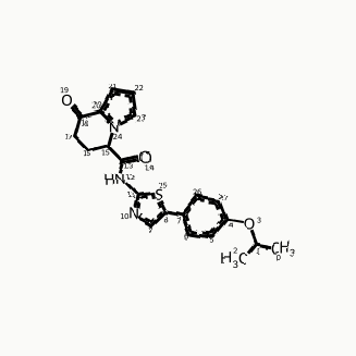 CC(C)Oc1ccc(-c2cnc(NC(=O)C3CCC(=O)c4cccn43)s2)cc1